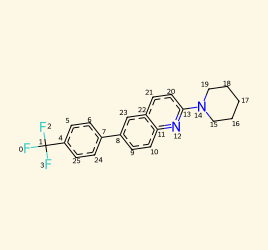 FC(F)(F)c1ccc(-c2ccc3nc(N4CCCCC4)ccc3c2)cc1